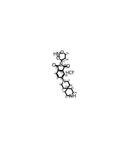 Cl.O=C1c2ccc(N3CCC4(CCNCC4)CC3)cc2C(=O)N1C1CCONO1